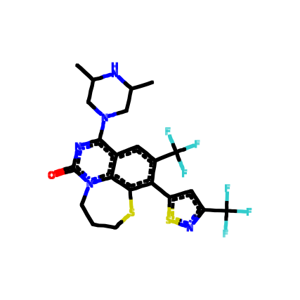 CC1CN(c2nc(=O)n3c4c(c(-c5cc(C(F)(F)F)ns5)c(C(F)(F)F)cc24)SCCC3)CC(C)N1